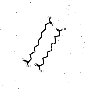 O=C(O)CCCCCCCCCC(=O)O.O=C(O)CCCCCCCCCCC(=O)O